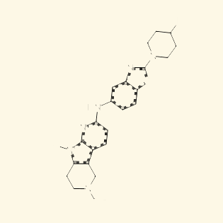 CC(C)N1CCc2c(c3ccc(Nc4ccc5sc(N6CCC(F)CC6)nc5c4)nc3n2C)C1